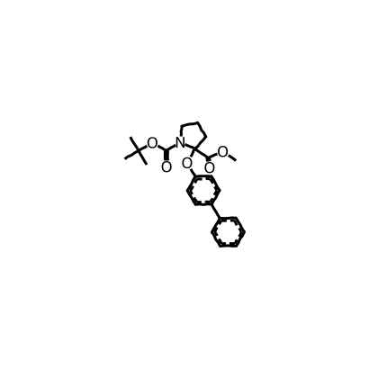 COC(=O)C1(Oc2ccc(-c3ccccc3)cc2)CCCN1C(=O)OC(C)(C)C